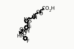 O=C(O)CCC(=O)OCCn1cc(-c2cc3nccc(Oc4ccc(NC(=O)C5(C(=O)Nc6ccc(F)cc6)CC5)cc4F)c3s2)cn1